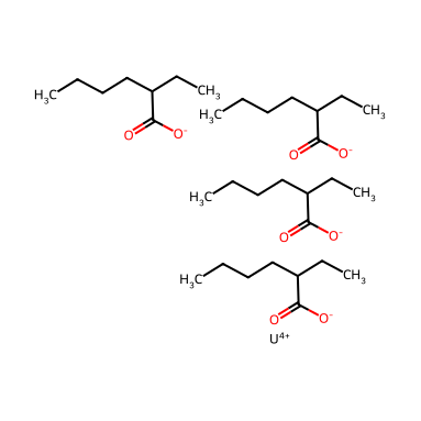 CCCCC(CC)C(=O)[O-].CCCCC(CC)C(=O)[O-].CCCCC(CC)C(=O)[O-].CCCCC(CC)C(=O)[O-].[U+4]